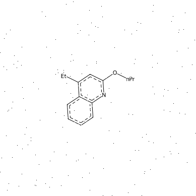 CCCOc1cc(CC)c2ccccc2n1